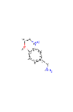 NCc1ccc2c(c1)NCCO2